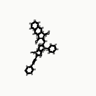 Cn1c(C#Cc2ccccc2)nc2c1nc(C=C1C(=O)c3cc4ccccc4cc3C1=O)n2-c1ccccc1